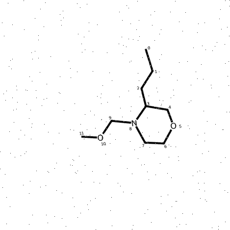 CCCC1COCCN1COC